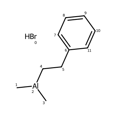 Br.[CH3][Al]([CH3])[CH2]Cc1ccccc1